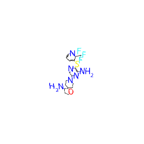 Nc1nc(N2CCC3(CC2)OCC[C@H]3N)cnc1Sc1cccnc1C(F)(F)F